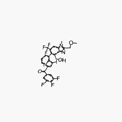 COCc1nc2c(CO)c(-c3cccn4c(C(=O)c5cc(F)c(F)c(F)c5)cc(I)c34)c(C(F)(F)F)cc2n1C